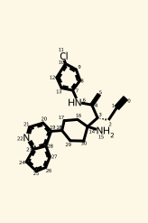 C#CC[C@@H](C(=C)Nc1ccc(Cl)cc1)C1(N)CCC(c2ccnc3ccccc23)CC1